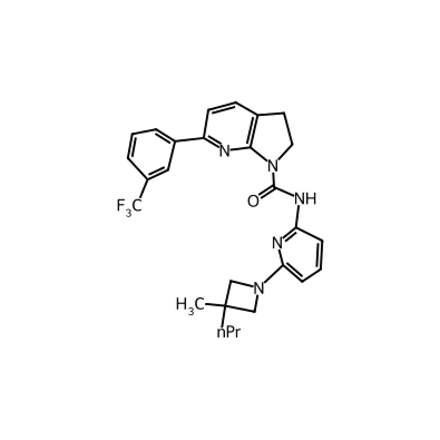 CCCC1(C)CN(c2cccc(NC(=O)N3CCc4ccc(-c5cccc(C(F)(F)F)c5)nc43)n2)C1